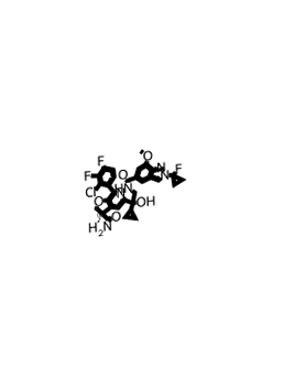 COc1cc(C(=O)NCC(O)(c2cc3c(c(-c4ccc(F)c(F)c4Cl)n2)OC[C@]3(C)C(N)=O)C2CC2)cc2cn(C3(F)CC3)nc12